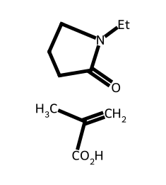 C=C(C)C(=O)O.CCN1CCCC1=O